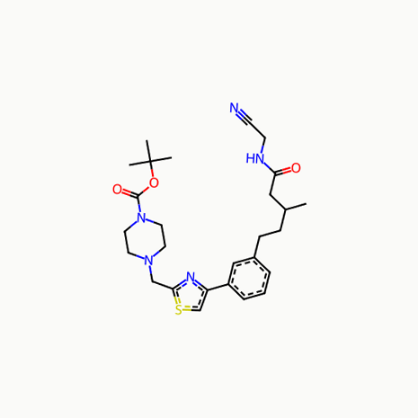 CC(CCc1cccc(-c2csc(CN3CCN(C(=O)OC(C)(C)C)CC3)n2)c1)CC(=O)NCC#N